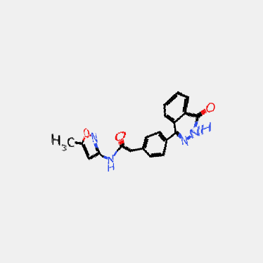 Cc1cc(NC(=O)Cc2ccc(-c3n[nH]c(=O)c4ccccc34)cc2)no1